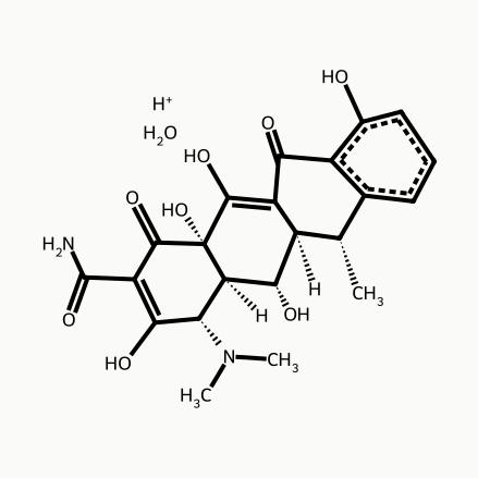 C[C@H]1c2cccc(O)c2C(=O)C2=C(O)[C@]3(O)C(=O)C(C(N)=O)=C(O)[C@@H](N(C)C)[C@@H]3[C@@H](O)[C@@H]21.O.[H+]